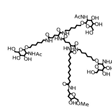 COCC1OC(CNC(=O)CCCCCCCCCCC(=O)NC(CCC(=O)NC(CCC(=O)NCCCCCCOC2OC(CO)C(O)C(O)C2NC(C)=O)C(=O)NCCCCCCOC2OC(CO)C(O)C(O)C2NC(C)=O)C(=O)NCCCCCCOC2OC(CO)C(O)C(O)C2NC(C)=O)CC1O